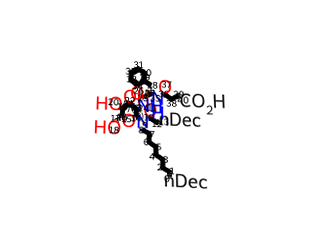 CCCCCCCCCCCCCCCCCCN(C(=O)CCCCCCCCCCC)[C@@H]1O[C@H](CO)[C@@H](O)[C@H](O)[C@@H]1NC(=O)[C@H](Cc1ccccc1)NC(=O)CCC(=O)O